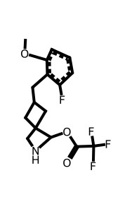 COc1cccc(F)c1CC1CC2(CNC2OC(=O)C(F)(F)F)C1